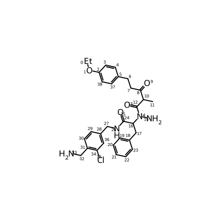 CCOc1ccc(CCC(=O)C(C)C(=O)N(N)C(Cc2ccccc2)C(=O)NCc2ccc(CN)c(Cl)c2)cc1